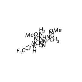 COCC(=O)NC(C)CNc1nccc(-c2[nH]c(-c3ccc(C(F)(F)F)cc3)nc2-c2cnc(N)c(OC)n2)n1